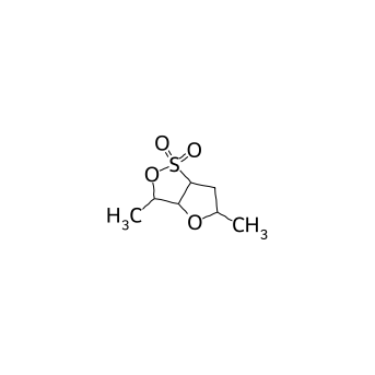 CC1CC2C(O1)C(C)OS2(=O)=O